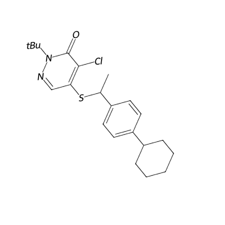 CC(Sc1cnn(C(C)(C)C)c(=O)c1Cl)c1ccc(C2CCCCC2)cc1